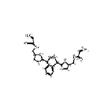 C=CC(=O)OCC1CSC(C(SC)c2ccccc2C(SC)C2SCC(COC(=O)C=C)S2)S1